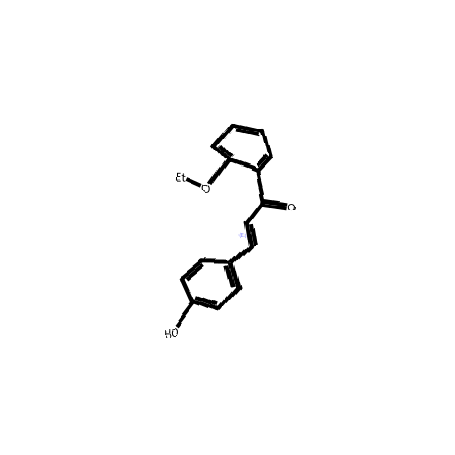 CCOc1ccccc1C(=O)/C=C/c1ccc(O)cc1